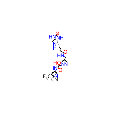 C[C@](O)(Cn1cc(CNC(=O)CCCC[C@@H]2NCC3NC(=O)NC32)cn1)C(=O)Nc1cnc(C#N)c(C(F)(F)F)c1